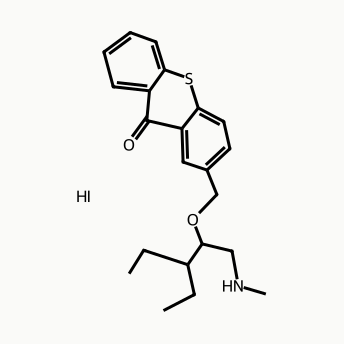 CCC(CC)C(CNC)OCc1ccc2sc3ccccc3c(=O)c2c1.I